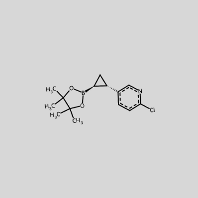 CC1(C)OB([C@H]2C[C@@H]2c2ccc(Cl)nc2)OC1(C)C